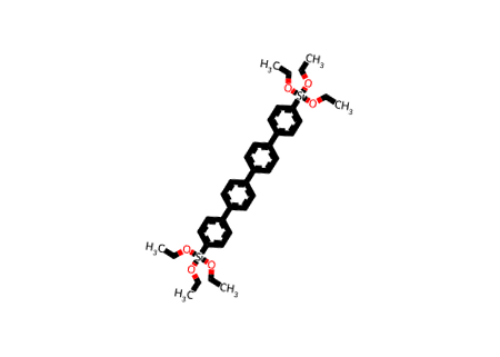 CCO[Si](OCC)(OCC)c1ccc(-c2ccc(-c3ccc(-c4ccc([Si](OCC)(OCC)OCC)cc4)cc3)cc2)cc1